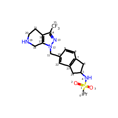 CC(C)S(=O)(=O)NC1Cc2ccc(Cn3nc(C(F)(F)F)c4c3CNCC4)cc2C1